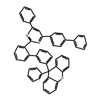 c1ccc(-c2ccc(-c3cc(-c4ccccc4)nc(-c4ccccc4-c4cccc(C5(c6ccccc6)c6ccccc6Oc6ccccc65)c4)n3)cc2)cc1